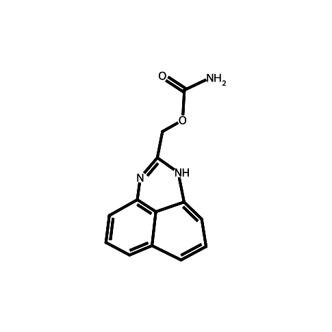 NC(=O)OCC1=Nc2cccc3cccc(c23)N1